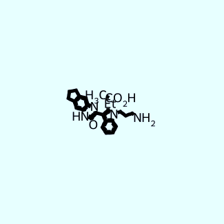 CC(=O)O.CCc1c(-c2nc3cc4c(cc3[nH]c2=O)CCC4)c2ccccc2n1CCCN